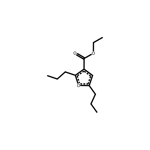 CCCc1cc(C(=O)OCC)c(CCC)o1